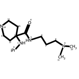 CC(C)NC1(C(=O)NCCCN(C)C)CCNCC1